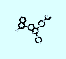 C=CC(O)N1CCN(c2nc(N3CCOCC3)nc3c2CCN(c2cc(O)cc4ccccc24)C3)CC1